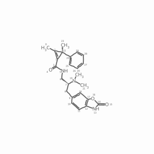 CC1=C(C(=O)NC[C@H](Cc2ccc3[nH]c(=O)oc3c2)N(C)C)[C@@]1(C)c1ccccc1